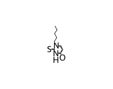 CCCCCn1ccc(=O)[nH]c1=S